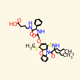 CCCCC1(CCCC)NSC2=C(C(=O)[C@@H](SC)C(OCC(=O)N[C@@H](C(=O)NCCCC(=O)O)c3ccccc3)=C2)N(c2ccccc2)C1=O